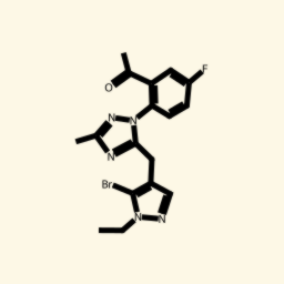 CCn1ncc(Cc2nc(C)nn2-c2ccc(F)cc2C(C)=O)c1Br